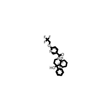 O=C(c1ccc(OCC(F)(F)F)nc1)N1CCC(O)(c2ccccc2)[C@H]2CCCC[C@H]21